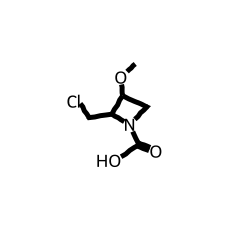 COC1CN(C(=O)O)C1CCl